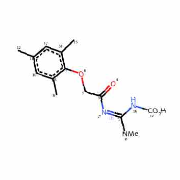 CN/C(=N/C(=O)COc1c(C)cc(C)cc1C)NC(=O)O